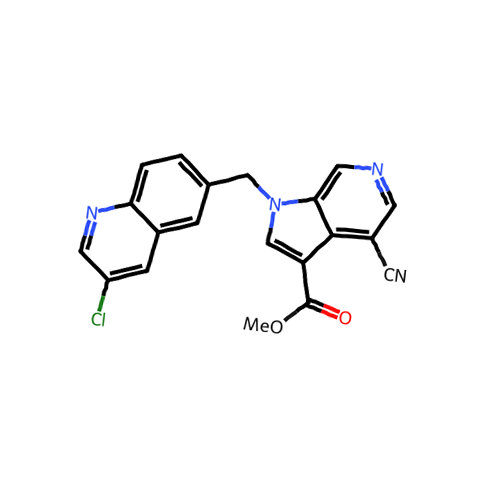 COC(=O)c1cn(Cc2ccc3ncc(Cl)cc3c2)c2cncc(C#N)c12